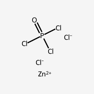 O=P(Cl)(Cl)Cl.[Cl-].[Cl-].[Zn+2]